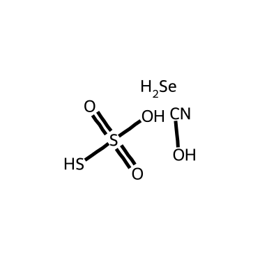 N#CO.O=S(=O)(O)S.[SeH2]